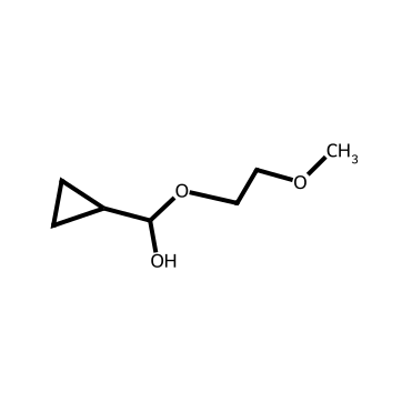 COCCOC(O)C1CC1